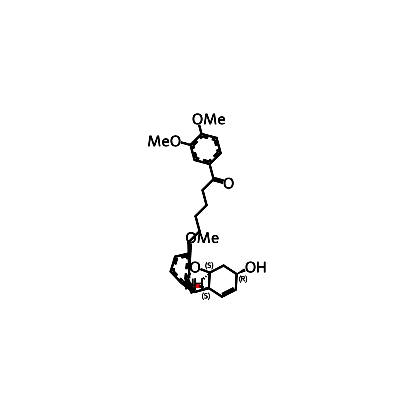 COc1ccc(C(=O)CCCCCN2CC[C@@]34C=C[C@H](O)C[C@@H]3Oc3c(OC)ccc(c34)C2)cc1OC